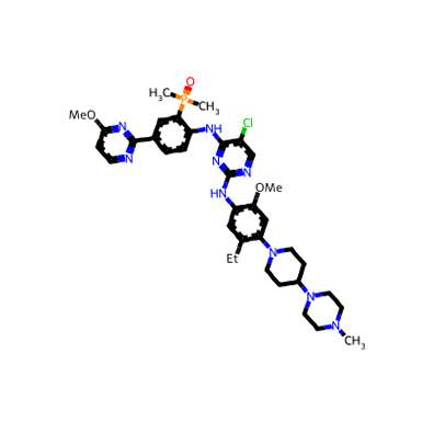 CCc1cc(Nc2ncc(Cl)c(Nc3ccc(-c4nccc(OC)n4)cc3P(C)(C)=O)n2)c(OC)cc1N1CCC(N2CCN(C)CC2)CC1